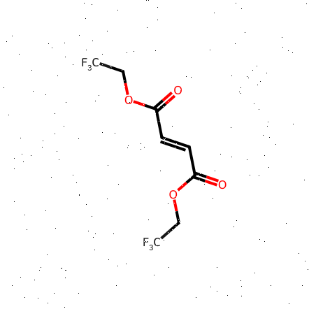 O=C(C=CC(=O)OCC(F)(F)F)OCC(F)(F)F